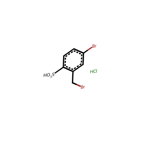 Cl.O=S(=O)(O)c1ccc(Br)cc1CBr